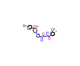 O=C(CNC(=O)c1cccc(C(F)(F)F)c1)NC1CCN(C2CCC(O)(c3ccc(Br)nc3)CC2)C1